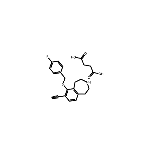 N#Cc1ccc2c(c1SCc1ccc(F)cc1)CCNCC2.O=C(O)CCC(=O)O